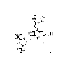 CCC[CH2][Sn]([CH2]CCC)([CH2]CCC)[c]1nnn(Cc2cc(C(F)(F)F)cc(C(F)(F)F)c2)c1C(C)C